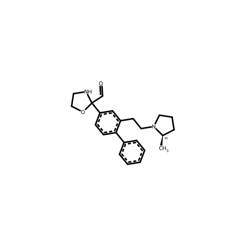 C[C@@H]1CCCN1CCc1cc(C2(C=O)NCCO2)ccc1-c1ccccc1